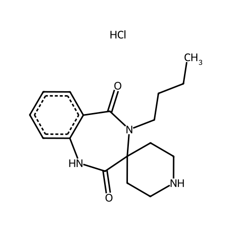 CCCCN1C(=O)c2ccccc2NC(=O)C12CCNCC2.Cl